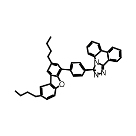 CCCCc1ccc2oc3c(-c4ccc(-c5nnc6c7ccccc7c7ccccc7n56)cc4)cc(CCCC)cc3c2c1